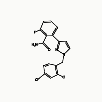 NC(=O)c1c(F)cccc1-c1ccn(Cc2ccc(Cl)cc2Cl)n1